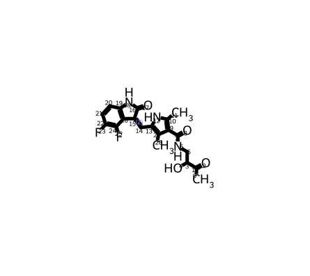 CC(=O)C(O)CNC(=O)c1c(C)[nH]c(/C=C2\C(=O)Nc3ccc(F)c(F)c32)c1C